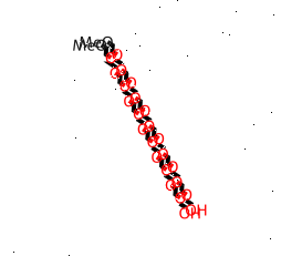 COCCOCCOCCOCCOCCOCCOCCOCCOCCOCCOCCOCCO.COCCOCCOCCOCCOCCOCCOCCOCCOCCOCCOCCOCCO